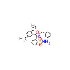 Cc1ccc(C)c(-c2oc(Cc3ccccc3)nc2-c2ccccc2S(N)(=O)=O)c1